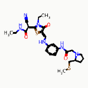 CCNC(=O)C(C#N)=c1sc(=CNc2cccc(NC(=O)CN3CCCC3CSC)c2)c(=O)n1CC